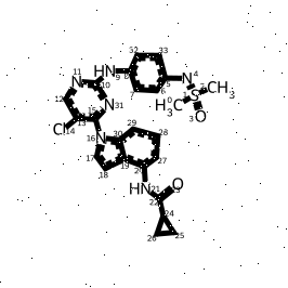 CS(C)(=O)=Nc1ccc(Nc2ncc(Cl)c(-n3ccc4c(NC(=O)C5CC5)cccc43)n2)cc1